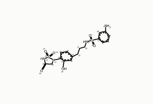 Nc1cccc(S(=O)(=O)NCCCc2ccc(N3CC(=O)NS3(=O)=O)c(O)c2)c1